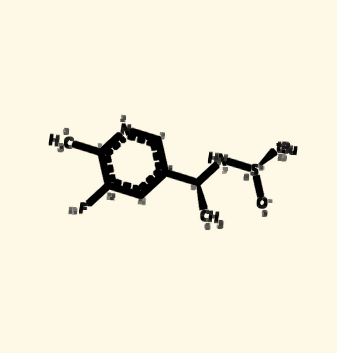 Cc1ncc([C@H](C)N[S@+]([O-])C(C)(C)C)cc1F